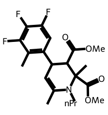 CCCN1C(C)=CC(c2cc(F)c(F)c(F)c2C)C(C(=O)OC)C1(C)C(=O)OC